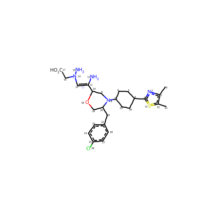 Cc1nc(C2CCC(N3CC(/C(N)=C/N(N)CC(=O)O)OCC3Cc3ccc(Cl)cc3)CC2)sc1C